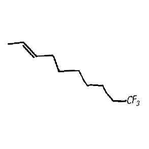 C/C=C/CCCCCCC(F)(F)F